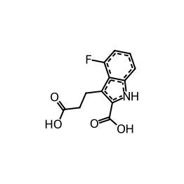 O=C(O)CCc1c(C(=O)O)[nH]c2cccc(F)c12